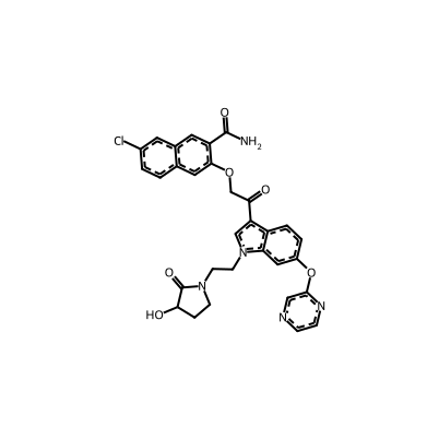 NC(=O)c1cc2cc(Cl)ccc2cc1OCC(=O)c1cn(CCN2CCC(O)C2=O)c2cc(Oc3cnccn3)ccc12